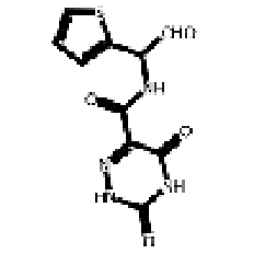 O=[C]C(NC(=O)c1n[nH]c(=O)[nH]c1=O)c1cccs1